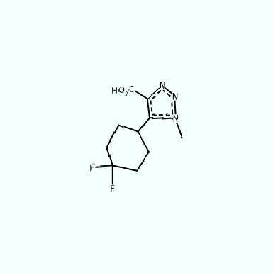 Cn1nnc(C(=O)O)c1C1CCC(F)(F)CC1